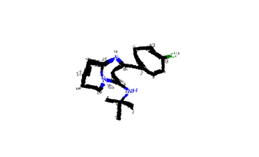 CC(C)(C)Nc1c(-c2ccc(Cl)cc2)nc2ccccn12